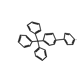 [c]1ccc(-c2ccc(C(c3ccccc3)(c3ccccc3)c3ccccc3)cc2)cc1